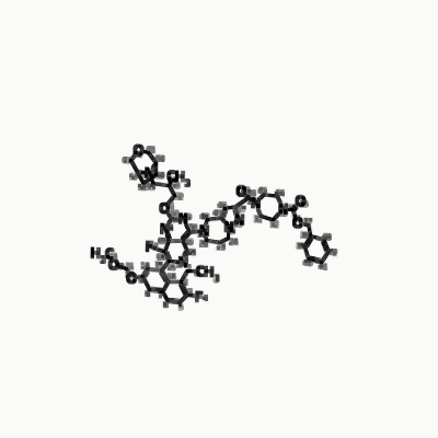 CCc1c(F)ccc2cc(OCOC)cc(-c3ncc4c(N5CCCn6nc(C(=O)N7CCN(C(=O)OCc8ccccc8)CC7)cc6C5)nc(OC[C@H](C)CN5C6CCC5COC6)nc4c3F)c12